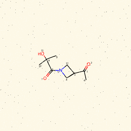 CC(=O)C1CN(C(=O)C(C)(C)O)C1